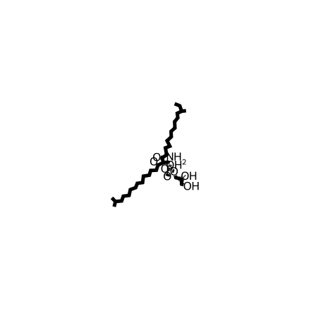 CCC(C)CCCCCCCCCCC(=O)C(CN)(OP(=O)(O)OC[C@H](O)CO)C(=O)CCCCCCCCCCCC(C)C